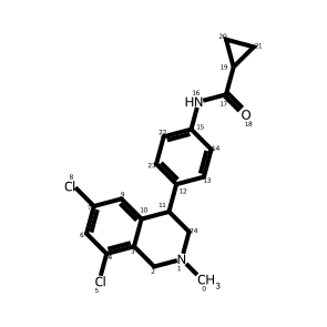 CN1Cc2c(Cl)cc(Cl)cc2C(c2ccc(NC(=O)C3CC3)cc2)C1